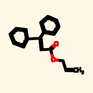 C=CCOC(=O)C=C(c1ccccc1)c1ccccc1